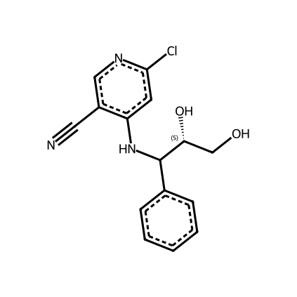 N#Cc1cnc(Cl)cc1NC(c1ccccc1)[C@H](O)CO